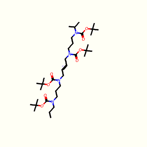 CCCN(CCCN(C/C=C/CN(CCCN(C(=O)OC(C)(C)C)C(C)C)C(=O)OC(C)(C)C)C(=O)OC(C)(C)C)C(=O)OC(C)(C)C